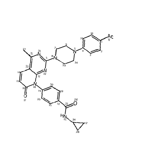 CC(=O)c1ccc(N2CCN(c3nc(C)c4ccc(=O)n(-c5ccc(C(=O)NC6CC6)cc5)c4n3)CC2)cc1